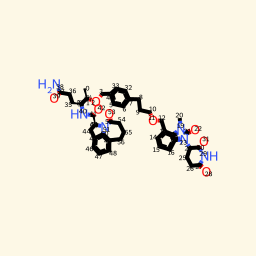 C[C@@H](OCc1ccc(CCCOCc2cccc3c2n(C)c(=O)n3C2CCC(=O)NC2=O)cc1)[C@H](CCC(N)=O)NC(=O)[C@@H]1Cc2cccc3c2N1C(=O)CCC3